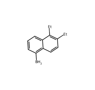 Bc1cccc2c(CC)c(CC)ccc12